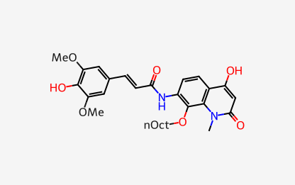 CCCCCCCCOc1c(NC(=O)/C=C/c2cc(OC)c(O)c(OC)c2)ccc2c(O)cc(=O)n(C)c12